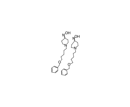 ON=C1CCN(CCCCCOCc2ccccc2)CC1.ON=C1CCN(CCCCCOCc2ccccc2)CC1